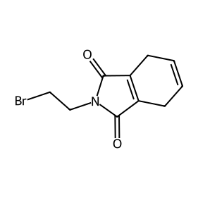 O=C1C2=C(CC=CC2)C(=O)N1CCBr